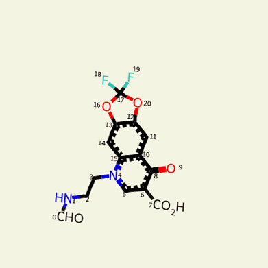 O=CNCCn1cc(C(=O)O)c(=O)c2cc3c(cc21)OC(F)(F)O3